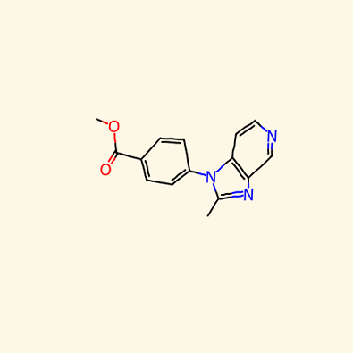 COC(=O)c1ccc(-n2c(C)nc3cnccc32)cc1